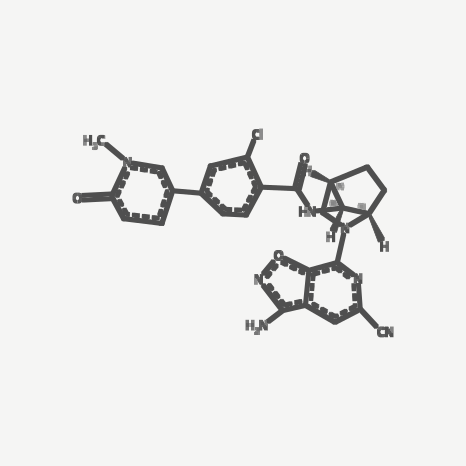 Cn1cc(-c2ccc(C(=O)N[C@@H]3[C@H]4CC[C@@H]3N(c3nc(C#N)cc5c(N)noc35)C4)c(Cl)c2)ccc1=O